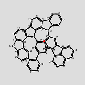 c1ccc(-c2cccc(-n3c4c(ccc5oc6ccccc6c54)c4ccc5c6ccccc6n(-c6ccc7c(c6)-c6cccc8cccc-7c68)c5c43)c2)cc1